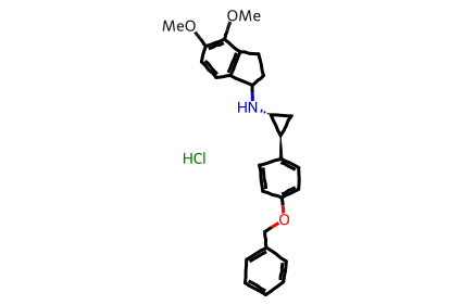 COc1ccc2c(c1OC)CCC2N[C@@H]1C[C@H]1c1ccc(OCc2ccccc2)cc1.Cl